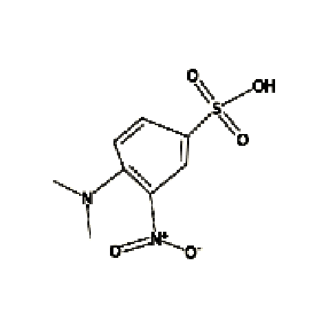 CN(C)c1ccc(S(=O)(=O)O)cc1[N+](=O)[O-]